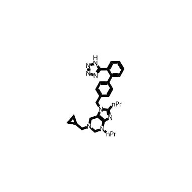 CCCc1nc2c(n1Cc1ccc(-c3ccccc3-c3nnn[nH]3)cc1)CN(CC1CC1)CN2CCC